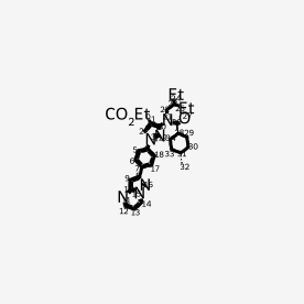 CCOC(=O)c1cn(-c2ccc(-c3cc4ncccn4n3)cc2)nc1N(CC(CC)CC)C(=O)[C@H]1CC[C@H](C)CC1